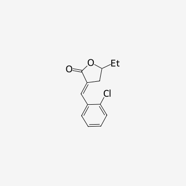 CCC1CC(=Cc2ccccc2Cl)C(=O)O1